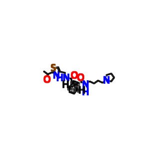 CC(=O)c1nc(CNC(=O)[C@H]2[C@H](C(=O)NCCCCN3CCCC3)[C@H]3C=C[C@@H]2C32CC2)cs1